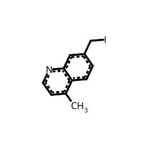 Cc1ccnc2cc(CI)ccc12